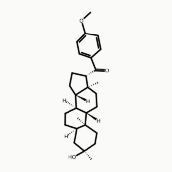 COc1ccc(C(=O)[C@H]2CC[C@H]3[C@@H]4CC[C@@H]5C[C@](C)(O)CC[C@]5(C)[C@H]4CC[C@]23C)cc1